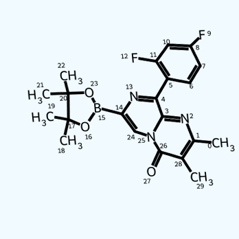 Cc1nc2c(-c3ccc(F)cc3F)nc(B3OC(C)(C)C(C)(C)O3)cn2c(=O)c1C